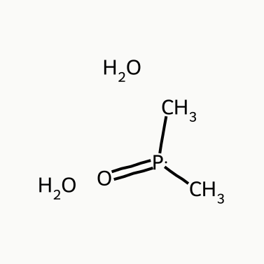 C[P](C)=O.O.O